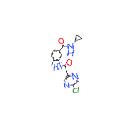 Cc1ccc(C(=O)NC2CC2)cc1NC(=O)c1cnc(Cl)cn1